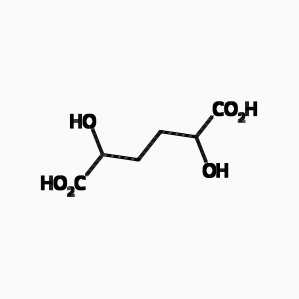 O=C(O)C(O)CCC(O)C(=O)O